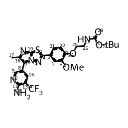 COc1cc(-c2nn3c(-c4cnc(N)c(C(F)(F)F)c4)c(C)nc3s2)ccc1OCCNC(=O)OC(C)(C)C